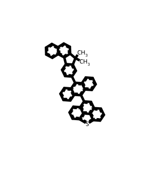 CC1(C)c2cc(-c3c4ccccc4c(-c4cc5cccc6sc7cccc4c7c56)c4ccccc34)ccc2-c2c1ccc1ccccc21